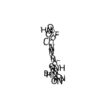 CCc1cc(Nc2ncc(Br)c(Nc3ccc4nccnc4c3P(C)(C)=O)n2)c(OC)cc1N1CCC(N2CCN(CCc3cc(F)c(C4CCC(=O)NC4=O)cc3Cl)CC2)CC1